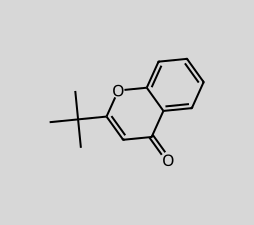 CC(C)(C)c1cc(=O)c2ccccc2o1